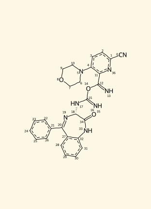 N#Cc1ccc(N2CCOCC2)c(C(=N)OC(=N)N[C@H]2N=C(c3ccccc3)c3ccccc3NC2=O)n1